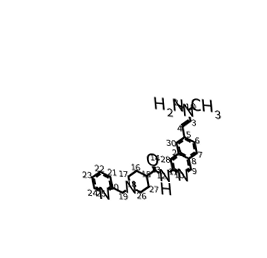 CN(N)/C=C/c1ccc2cnc(NC(=O)C3CCN(Cc4ccccn4)CC3)cc2c1